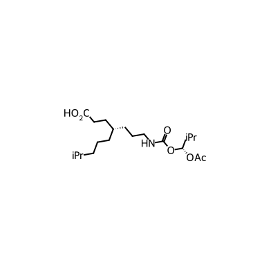 CC(=O)O[C@H](OC(=O)NCCC[C@H](CCCC(C)C)CCC(=O)O)C(C)C